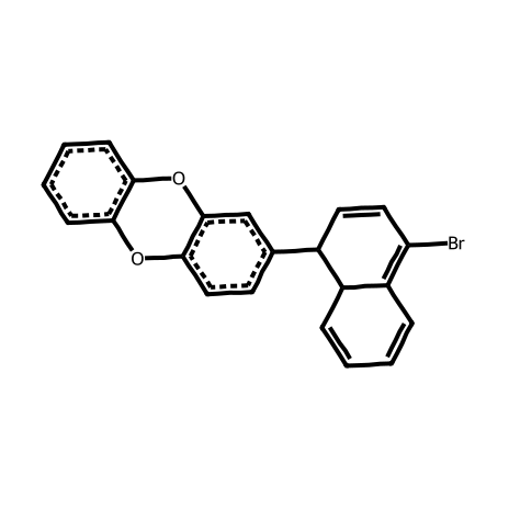 BrC1=C2C=CC=CC2C(c2ccc3c(c2)Oc2ccccc2O3)C=C1